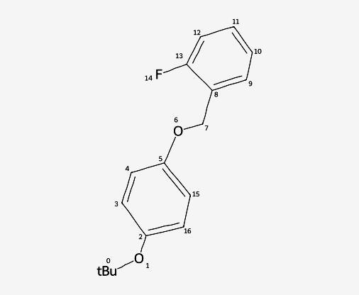 CC(C)(C)Oc1ccc(OCc2ccccc2F)cc1